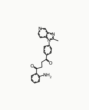 Cc1nc2cnccc2n1-c1ccc(C(=O)CCC(=O)c2ccccc2N)cc1